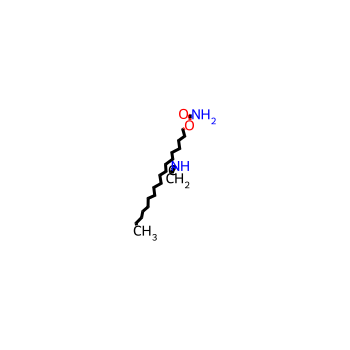 C=C=N.CCCCCCCCCCCCCCCCCCOC(N)=O